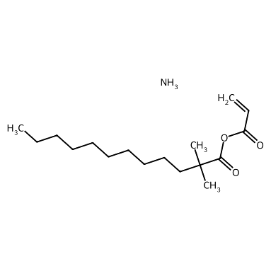 C=CC(=O)OC(=O)C(C)(C)CCCCCCCCCC.N